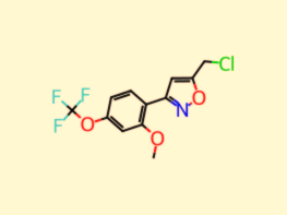 COc1cc(OC(F)(F)F)ccc1-c1cc(CCl)on1